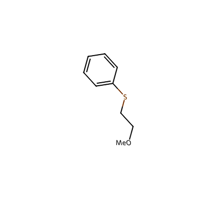 [CH]OCCSc1ccccc1